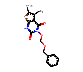 CCOC(=O)c1sc2[nH]c(=O)n(OCOCc3ccccc3)c(=O)c2c1C